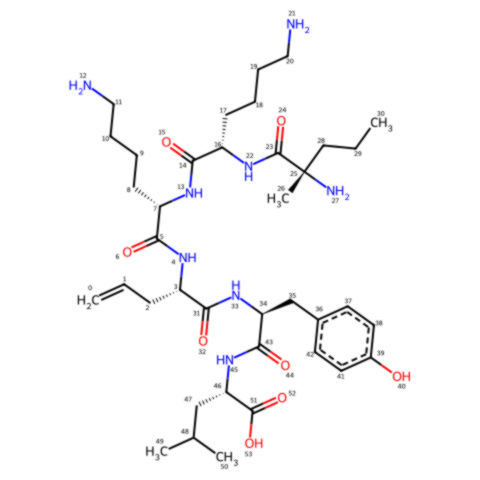 C=CC[C@H](NC(=O)[C@H](CCCCN)NC(=O)[C@H](CCCCN)NC(=O)[C@@](C)(N)CCC)C(=O)N[C@@H](Cc1ccc(O)cc1)C(=O)N[C@@H](CC(C)C)C(=O)O